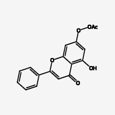 CC(=O)OOc1cc(O)c2c(=O)cc(-c3ccccc3)oc2c1